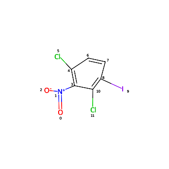 O=[N+]([O-])c1c(Cl)ccc(I)c1Cl